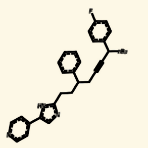 CCCCC(C#CCC(CCc1ncc(-c2ccncc2)[nH]1)c1ccccc1)c1ccc(F)cc1